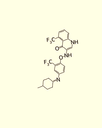 CC1CCC(=Nc2ccc(ONc3c[nH]c4cccc(C(F)(F)F)c4c3=O)c(C(F)(F)F)c2)CC1